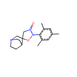 Cc1cc(C)c(N2OC3(CN4CCC3CC4)C[N+]2=O)c(C)c1